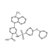 Cc1ccc(-c2ccc(C(=O)O)c(NS(=O)(=O)c3ccc(Oc4ccccc4)cc3)c2)c2ccccc12